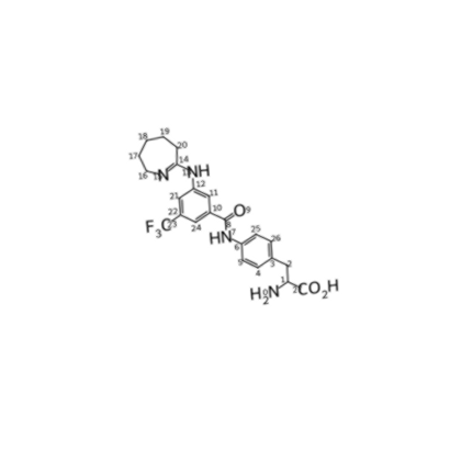 NC(Cc1ccc(NC(=O)c2cc(NC3=NCCCCC3)cc(C(F)(F)F)c2)cc1)C(=O)O